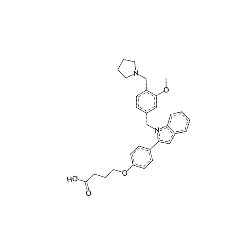 COc1cc(Cn2c(-c3ccc(OCCCC(=O)O)cc3)cc3ccccc32)ccc1CN1CCCC1